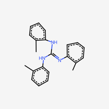 Cc1ccccc1N=C(Nc1ccccc1C)Nc1ccccc1C